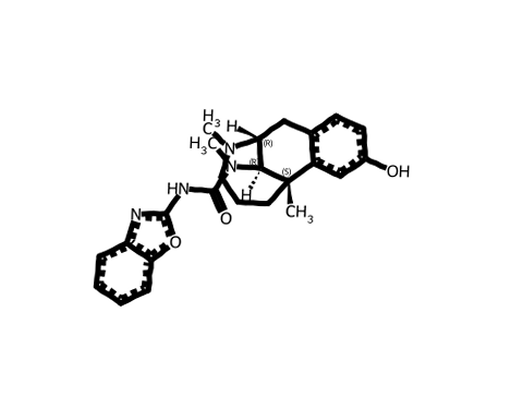 CN1CCC[C@@]2(C)c3cc(O)ccc3C[C@@H]1[C@@H]2N(C)C(=O)Nc1nc2ccccc2o1